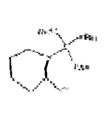 CCC1CCCCN1[Si](OC)(OC)C(C)(C)C